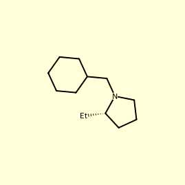 CC[C@H]1CCCN1CC1CCCCC1